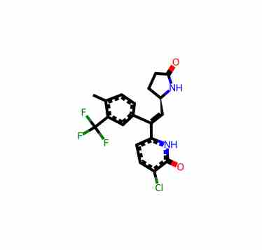 Cc1ccc(/C(=C\[C@H]2CCC(=O)N2)c2ccc(Cl)c(=O)[nH]2)cc1C(F)(F)F